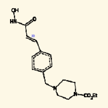 CCOC(=O)N1CCN(Cc2ccc(/C=C/C(=O)NO)cc2)CC1